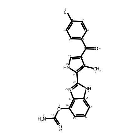 Cc1c(C(=O)c2ccc(Cl)cc2)c[nH]c1-c1nc2c(OC(N)=O)cccc2[nH]1